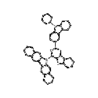 c1ccc(-n2c3ccccc3c3cc(-c4nc(-n5c6cc7ccccc7cc6c6cc7ccccc7cc65)c5oc6ccccc6c5n4)ccc32)cc1